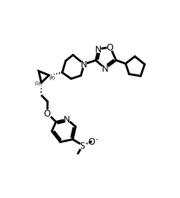 C[S+]([O-])c1ccc(OCC[C@@H]2C[C@@H]2C2CCN(c3noc(C4CCCC4)n3)CC2)nc1